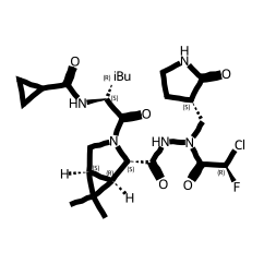 CC[C@@H](C)[C@H](NC(=O)C1CC1)C(=O)N1C[C@H]2[C@@H]([C@H]1C(=O)NN(C[C@@H]1CCNC1=O)C(=O)[C@H](F)Cl)C2(C)C